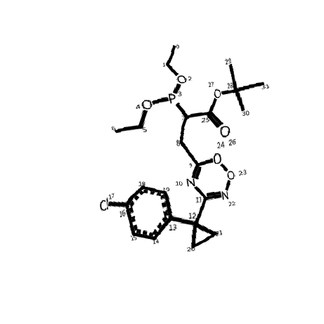 CCOP(OCC)C(CC1=NC(C2(c3ccc(Cl)cc3)CC2)=NOO1)C(=O)OC(C)(C)C